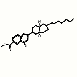 CCCCCCCC1CC[C@@H]2CC(c3cc(F)c4cc(C(=O)OC)ccc4c3)CC[C@H]2C1